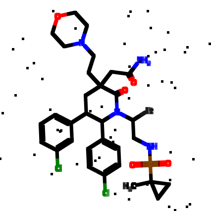 CCC(CNS(=O)(=O)C1(C)CC1)N1C(=O)C(CCN2CCOCC2)(CC(N)=O)CC(c2cccc(Cl)c2)C1c1ccc(Cl)cc1